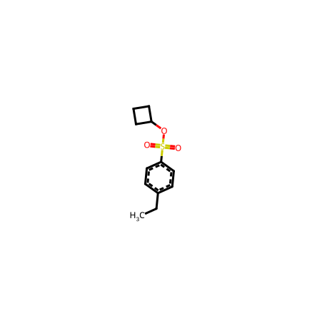 CCc1ccc(S(=O)(=O)OC2CCC2)cc1